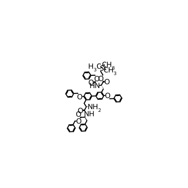 C[Si](C)(C)CCOC(=O)[C@H](Cc1cc(-c2ccc(OCc3ccccc3)c(C[C@H](N)C(=O)N[C@@H](Cc3ccccc3)C(=O)OCc3ccccc3)c2)ccc1OCc1ccccc1)NC(=O)OCc1ccccc1